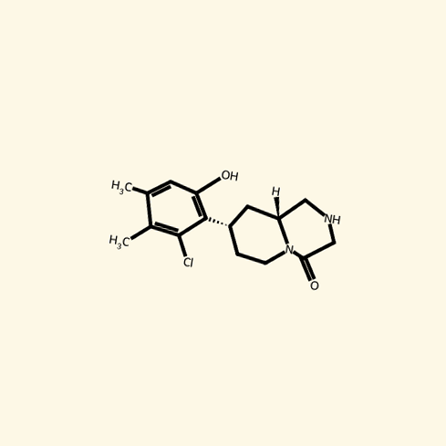 Cc1cc(O)c([C@H]2CCN3C(=O)CNC[C@H]3C2)c(Cl)c1C